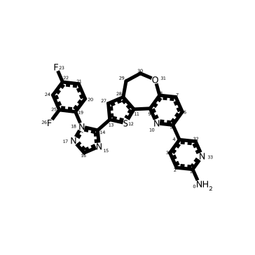 Nc1ccc(-c2ccc3c(n2)-c2sc(-c4ncnn4-c4ccc(F)cc4F)cc2CCO3)cn1